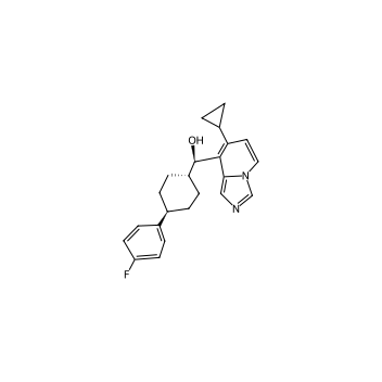 O[C@@H](c1c(C2CC2)ccn2cncc12)[C@H]1CC[C@H](c2ccc(F)cc2)CC1